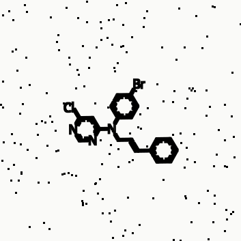 Clc1cc(N(C/C=C/c2ccccc2)c2ccc(Br)cc2)ncn1